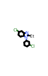 CCc1nc2cc(Cl)ccc2n1-c1cccc(Cl)c1